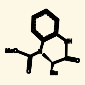 CC[C@H](C)[C@H]1C(=O)Nc2ccccc2N1C(=O)OC